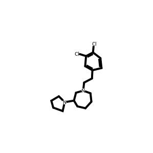 Clc1ccc(CCN2CCCCC(N3CCCC3)C2)cc1Cl